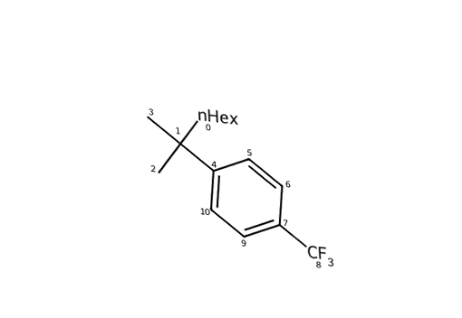 CCCCCCC(C)(C)c1ccc(C(F)(F)F)cc1